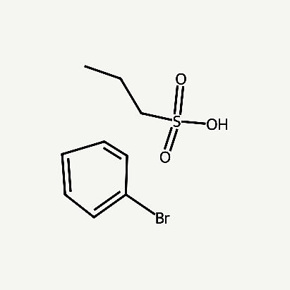 Brc1ccccc1.CCCS(=O)(=O)O